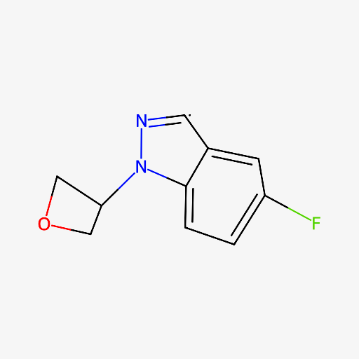 Fc1ccc2c([c]nn2C2COC2)c1